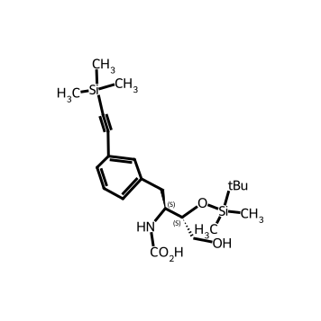 CC(C)(C)[Si](C)(C)O[C@H](CO)[C@H](Cc1cccc(C#C[Si](C)(C)C)c1)NC(=O)O